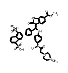 COC(=O)c1ccc2c(c1)NC(=O)C2=C(Nc1ccc(N(C)C(=O)CN2CCN(C)CC2)cc1)c1ccccc1.O=S(=O)(O)c1cccc2c(S(=O)(=O)O)cccc12